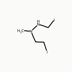 CN(CCI)NCI